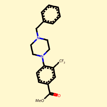 COC(=O)c1ccc(N2CCN(Cc3ccccc3)CC2)c(C(F)(F)F)c1